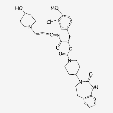 O=C(N=C=C=CN1CCC(O)CC1)[C@@H](Cc1ccc(O)c(Cl)c1)OC(=O)N1CCC(N2CCc3ccccc3NC2=O)CC1